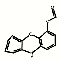 O=COc1cccc2c1Oc1ccccc1N2